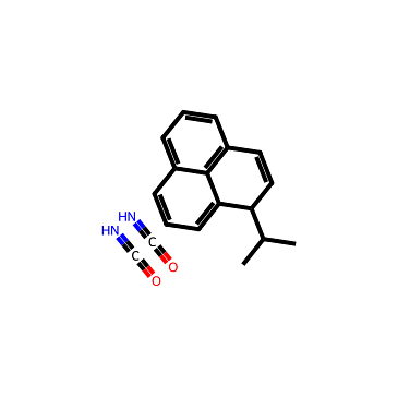 CC(C)C1C=Cc2cccc3cccc1c23.N=C=O.N=C=O